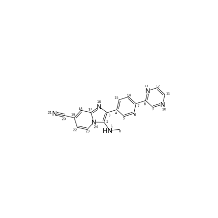 CNc1c(-c2ccc(-c3cnccn3)cc2)nc2cc(C#N)ccn12